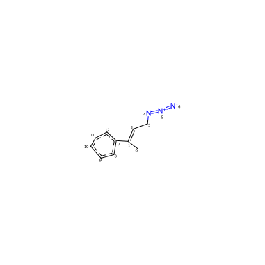 CC(=CCN=[N+]=[N-])c1ccccc1